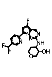 O[C@@H]1COCC[C@H]1Nc1ncc2c(F)cc(-c3ccc(C(F)F)cn3)n2n1